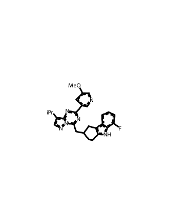 COc1cncc(-c2nc(CC3CCc4[nH]c5c(F)cccc5c4C3)n3ncc(C(C)C)c3n2)c1